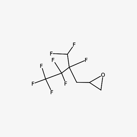 FC(F)C(F)(CC1CO1)C(F)(F)C(F)(F)F